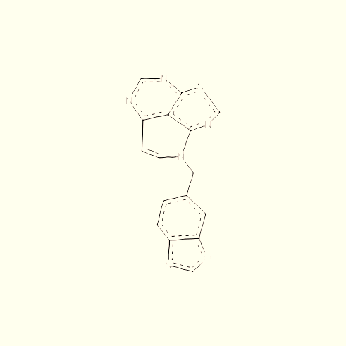 C1=CN(Cc2ccc3ncoc3c2)c2ncnc3ncnc1c23